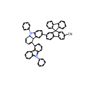 N#Cc1ccc2c(c1)C1(c3ccccc3-c3ccccc31)c1cc(-c3ccc4c(c3)C3C(c5cccc6c5c5ccccc5n6-c5ccccc5)=CC=CC3N4c3ccccc3)ccc1-2